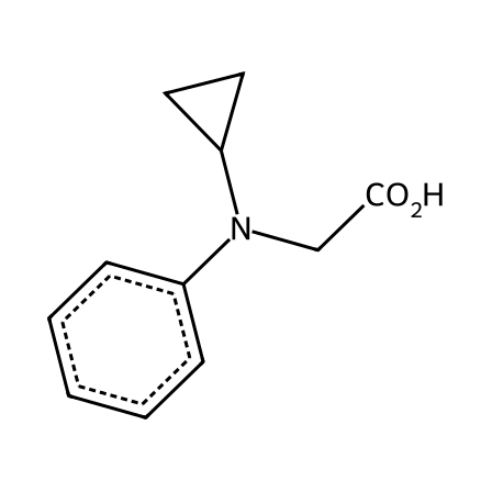 O=C(O)CN(c1ccccc1)C1CC1